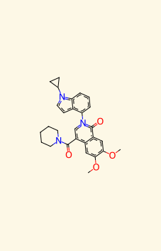 COc1cc2c(C(=O)N3CCCCC3)cn(-c3cccc4c3ccn4C3CC3)c(=O)c2cc1OC